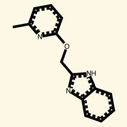 Cc1cccc(OCc2nc3ccccc3[nH]2)n1